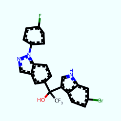 OC(c1ccc2c(cnn2-c2ccc(F)cc2)c1)(c1c[nH]c2cc(Br)ccc12)C(F)(F)F